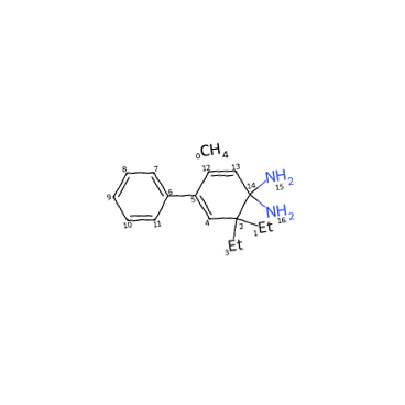 C.CCC1(CC)C=C(c2ccccc2)C=CC1(N)N